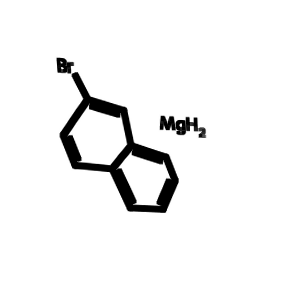 Brc1ccc2ccccc2c1.[MgH2]